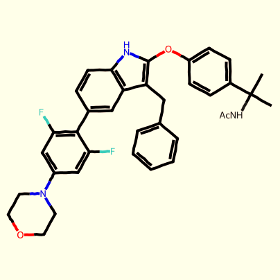 CC(=O)NC(C)(C)c1ccc(Oc2[nH]c3ccc(-c4c(F)cc(N5CCOCC5)cc4F)cc3c2Cc2ccccc2)cc1